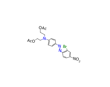 CC(=O)OCCN(CCOC(C)=O)c1ccc(N=Nc2ccc([N+](=O)[O-])cc2Br)cc1